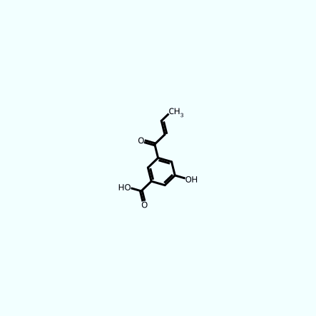 C/C=C/C(=O)c1cc(O)cc(C(=O)O)c1